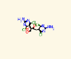 Nc1nc(Cl)c(CC(=O)C(CO)c2c(Cl)nc(N)nc2Cl)c(Cl)n1